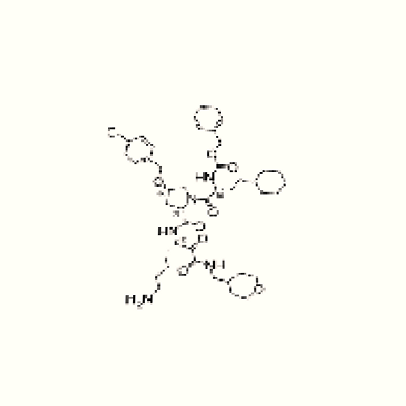 NCCCC[C@H](NC(=O)[C@@H]1C[C@@H](OCc2ccc(Cl)cc2)CN1C(=O)[C@@H](CC=C1CCCCC1)NC(=O)OCc1ccccc1)C(=O)C(=O)NCC1CCOCC1